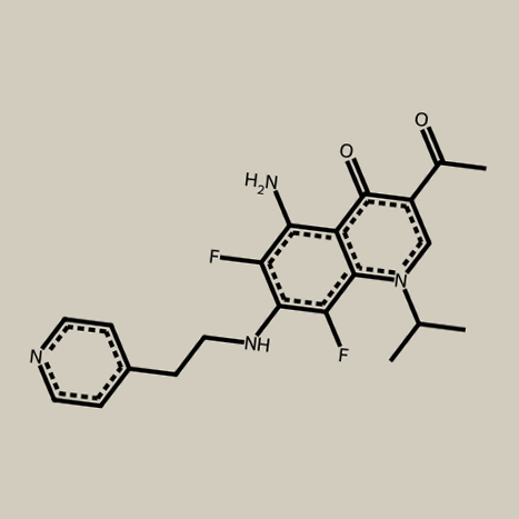 CC(=O)c1cn(C(C)C)c2c(F)c(NCCc3ccncc3)c(F)c(N)c2c1=O